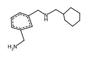 NCc1cccc(CNCC2CCCCC2)c1